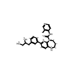 Cc1cnccc1NC(=O)N1CCCNc2ccc(-c3cccc(CC(O)CO)c3)nc21